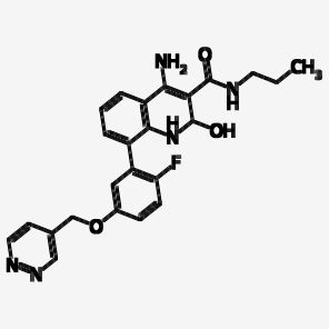 CCCNC(=O)C1=C(N)c2cccc(-c3cc(OCc4ccnnc4)ccc3F)c2NC1O